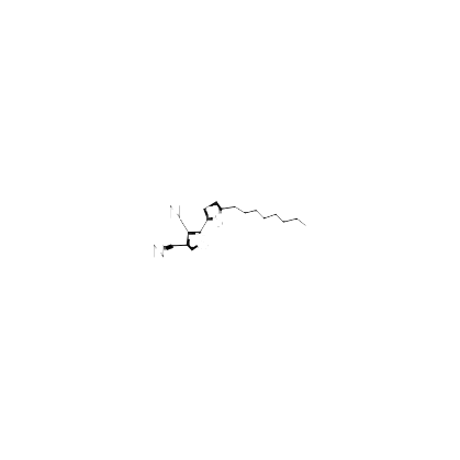 CCCCCCCCc1ccc(-c2scc(C#N)c2C#N)s1